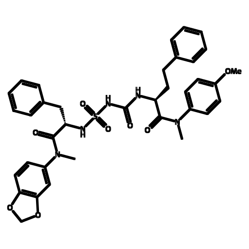 COc1ccc(N(C)C(=O)[C@H](CCc2ccccc2)NC(=O)NS(=O)(=O)N[C@@H](Cc2ccccc2)C(=O)N(C)c2ccc3c(c2)OCO3)cc1